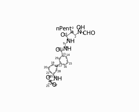 CCCCC[C@H](CN(O)C=O)C(=O)NCNC(=O)c1cccc(-c2cccc(NS(C)(=O)=O)c2)c1